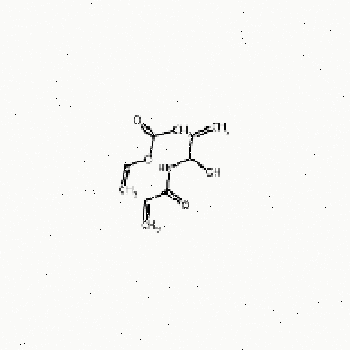 C=CC(=O)NC(O)C=C.C=COC(C)=O